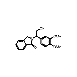 COc1ccc(C(CO)N2Cc3ccccc3C2=O)cc1OC